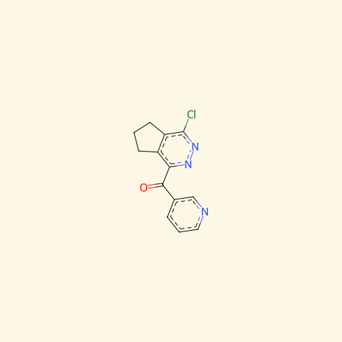 O=C(c1cccnc1)c1nnc(Cl)c2c1CCC2